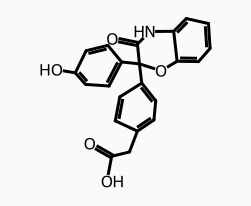 O=C(O)Cc1ccc(C2(c3ccc(O)cc3)Oc3ccccc3NC2=O)cc1